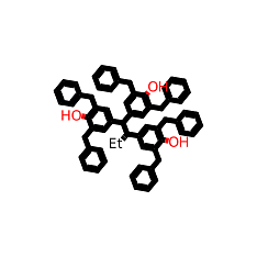 CCC(c1cc(Cc2ccccc2)c(O)c(Cc2ccccc2)c1)C(c1cc(Cc2ccccc2)c(O)c(Cc2ccccc2)c1)c1cc(Cc2ccccc2)c(O)c(Cc2ccccc2)c1